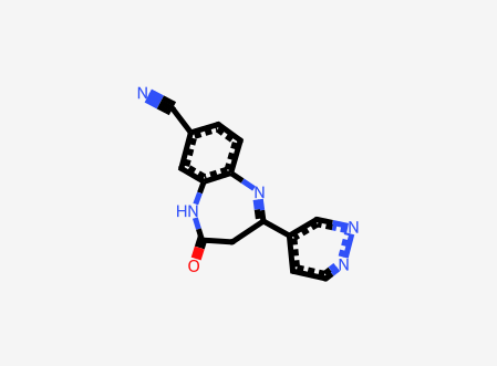 N#Cc1ccc2c(c1)NC(=O)CC(c1ccnnc1)=N2